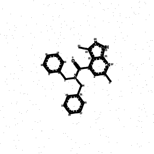 Cc1cc(C(=O)N(Cc2ccccc2)Cc2ccccc2)c2c(C)n[nH]c2n1